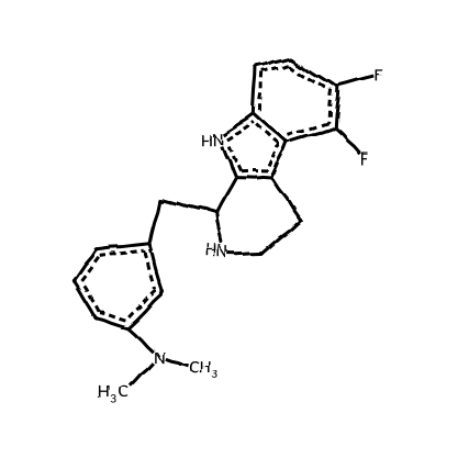 CN(C)c1cccc(CC2NCCc3c2[nH]c2ccc(F)c(F)c32)c1